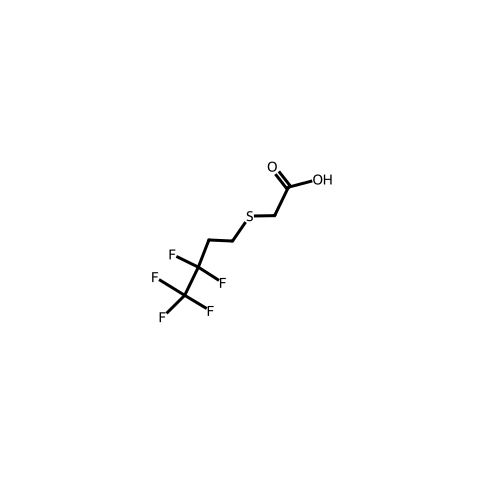 O=C(O)CSCCC(F)(F)C(F)(F)F